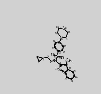 Cc1c(N(CCC2CC2)S(=O)(=O)c2ccc(N3CCSCC3)cc2)sc2ccccc12